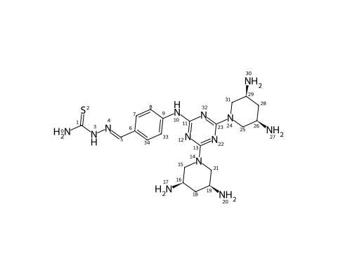 NC(=S)N/N=C/c1ccc(Nc2nc(N3C[C@H](N)C[C@H](N)C3)nc(N3C[C@H](N)C[C@H](N)C3)n2)cc1